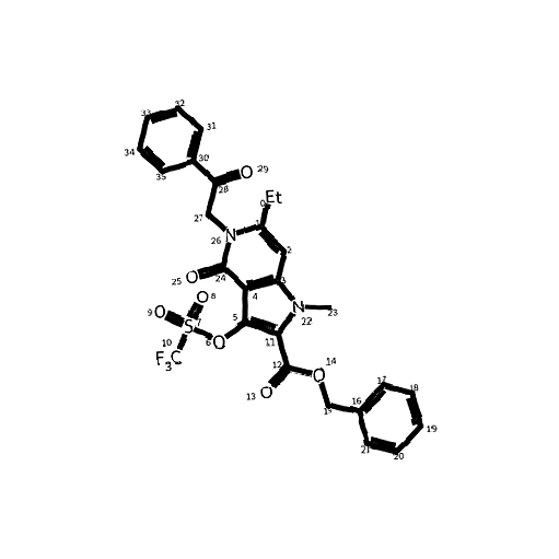 CCc1cc2c(c(OS(=O)(=O)C(F)(F)F)c(C(=O)OCc3ccccc3)n2C)c(=O)n1CC(=O)c1ccccc1